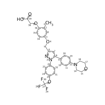 Cc1cc(OCc2cc(-c3ccc(N4CCOCC4)cc3)n(-c3ccc(OC(F)(F)F)cc3)n2)ccc1OCC(=O)O